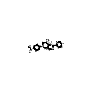 CC1CN(c2ccc([N+](=O)[O-])cc2)Cc2cnc(-c3ccccn3)nc21